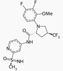 COc1c(N2C[C@@H](C(F)(F)F)C[C@@H]2C(=O)Nc2ccnc([S@](C)(=N)=O)c2)ccc(F)c1F